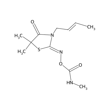 CC=CCN1C(=O)C(C)(C)SC1=NOC(=O)NC